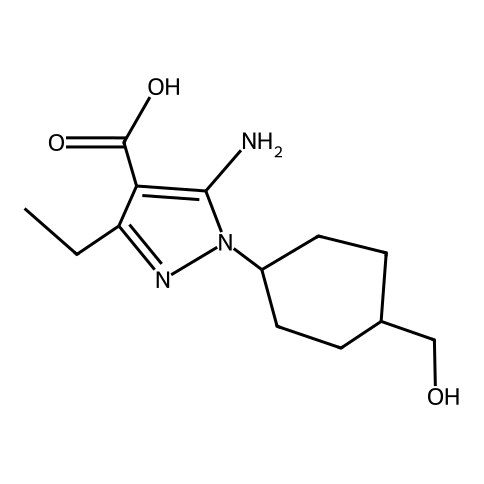 CCc1nn(C2CCC(CO)CC2)c(N)c1C(=O)O